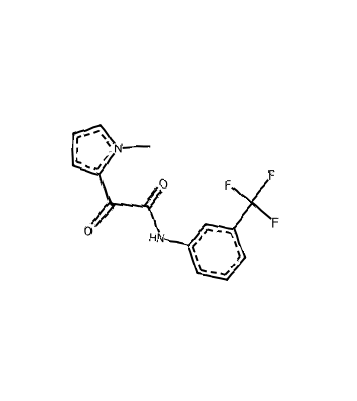 Cn1cccc1C(=O)C(=O)Nc1cccc(C(F)(F)F)c1